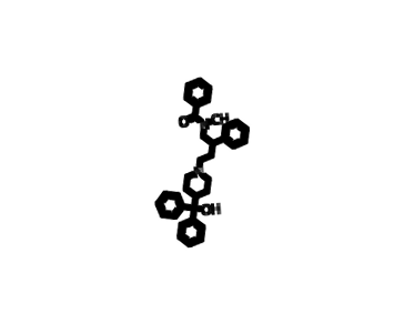 CN(CC(CCN1CCC(C(O)(c2ccccc2)c2ccccc2)CC1)c1ccccc1)C(=O)c1ccccc1